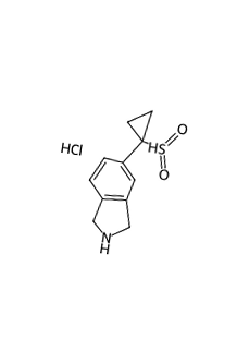 Cl.O=[SH](=O)C1(c2ccc3c(c2)CNC3)CC1